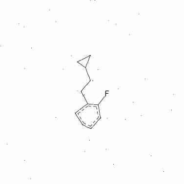 Fc1ccccc1C[CH]C1CC1